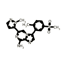 Cc1ccc(S(C)(=O)=O)cc1-c1cnc2c(N)nc(-c3ccnn3C)cn12